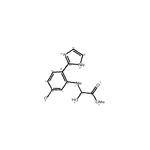 COC(=O)C(O)Nc1cc(Cl)ccc1-c1ncc[nH]1